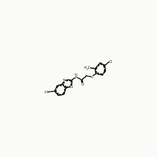 Cc1cc(Cl)ccc1OCC(=O)Nc1nc2cc(Cl)ccc2o1